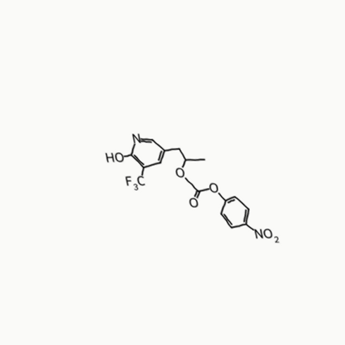 CC(Cc1cnc(O)c(C(F)(F)F)c1)OC(=O)Oc1ccc([N+](=O)[O-])cc1